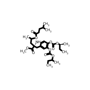 CCC(C)OC(=O)Oc1cc(C[C@](N)(CC(C)OC(=O)CCC(C)C)C(=O)OC)ccc1OC(=O)O[C@@H](C)CC